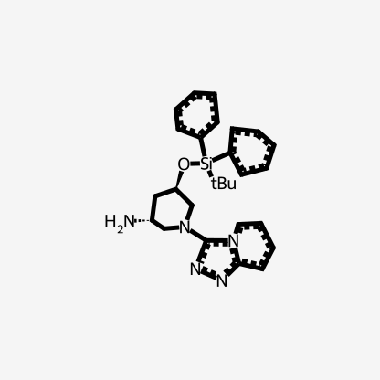 CC(C)(C)[Si](O[C@@H]1C[C@@H](N)CN(c2nnc3ccccn23)C1)(c1ccccc1)c1ccccc1